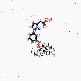 CC(C)(C)[Si](C)(C)OCc1cccc(-n2ccc(CC(=O)O)n2)c1